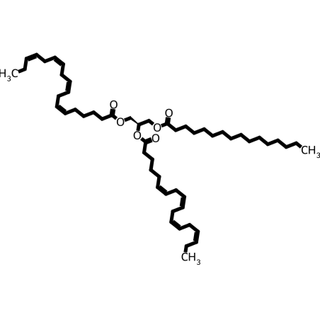 CC/C=C\C/C=C\C/C=C\C/C=C\CCCCC(=O)OC[C@@H](COC(=O)CCCCCCCCCCCCCCC)OC(=O)CCCC/C=C\C/C=C\C/C=C\C/C=C\CC